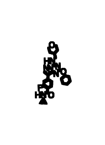 O=C(NC1CC1)c1ccc(-c2cnn3c(NCC4CCOCC4)nc(OC4CCCCC4)nc23)cc1F